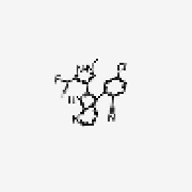 Cn1cc(-c2[nH]c3ncccc3c2-c2cc(Cl)ccc2C#N)c(C(F)F)n1